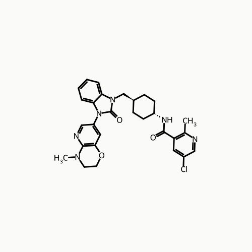 Cc1ncc(Cl)cc1C(=O)N[C@H]1CC[C@H](Cn2c(=O)n(-c3cnc4c(c3)OCCN4C)c3ccccc32)CC1